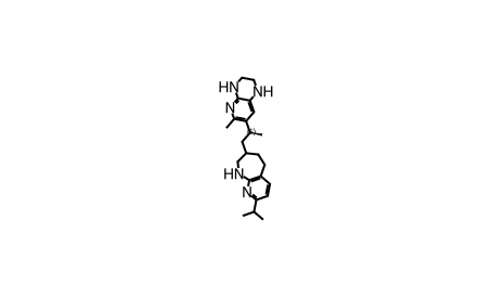 Cc1nc2c(cc1[C@@H](C)CC1CCc3ccc(C(C)C)nc3NC1)NCCN2